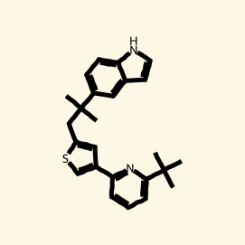 CC(C)(C)c1cccc(-c2csc(CC(C)(C)c3ccc4[nH]ccc4c3)c2)n1